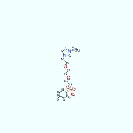 CCCCN1CCN(CCOCCOCCOS(=O)(=O)c2ccc(C)cc2)C1